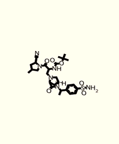 CC1CC(C#N)N(C(=O)C(CN2C[C@@H]3CC2C(=O)N3C(C)c2ccc(S(N)(=O)=O)cc2)NC(=O)OC(C)(C)C)C1